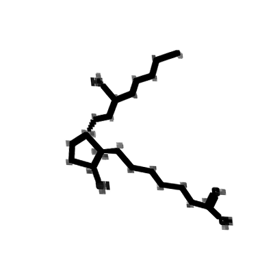 CCCCCC(S)CC[C@H]1CCC(O)[C@@H]1CCCCCCC(=O)O